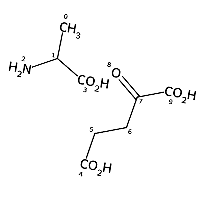 CC(N)C(=O)O.O=C(O)CCC(=O)C(=O)O